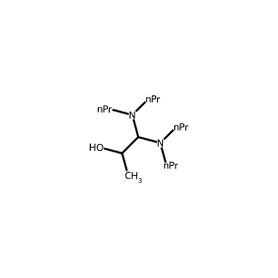 CCCN(CCC)C(C(C)O)N(CCC)CCC